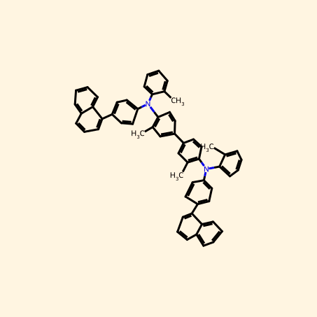 Cc1ccccc1N(c1ccc(-c2cccc3ccccc23)cc1)c1ccc(-c2ccc(N(c3ccc(-c4cccc5ccccc45)cc3)c3ccccc3C)c(C)c2)cc1C